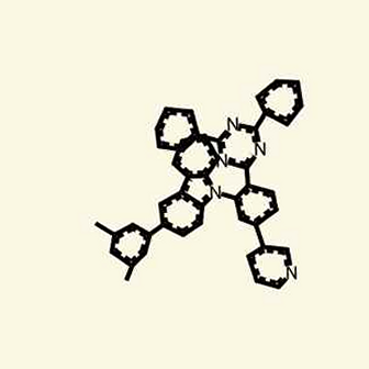 Cc1cc(C)cc(-c2ccc3c(c2)c2ccccc2n3-c2cc(-c3cccnc3)ccc2-c2nc(-c3ccccc3)nc(-c3ccccc3)n2)c1